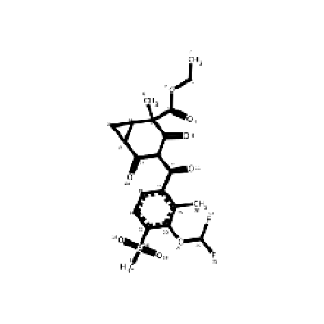 CCOC(=O)C1(C)C(=O)C(C(=O)c2ccc(S(C)(=O)=O)c(OC(F)F)c2C)C(=O)C2CC21